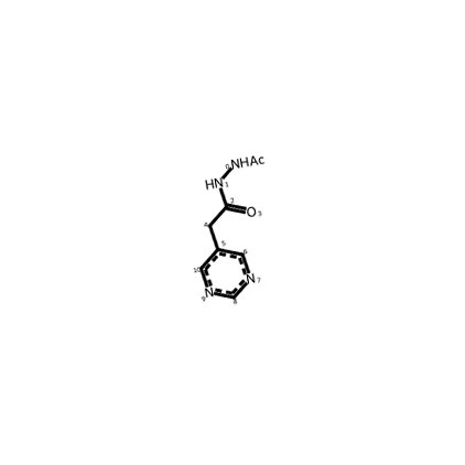 CC(=O)NNC(=O)Cc1cncnc1